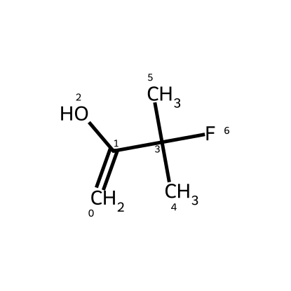 C=C(O)C(C)(C)F